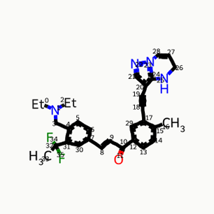 CCN(CC)Cc1ccc(/C=C/C(=O)c2ccc(C)c(C#Cc3cnn4c3NCC=C4)c2)cc1C(C)(F)F